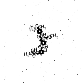 COCCCn1c(C(=O)Nc2ccc(C(C)(C)C)cc2)cc2cc(NC(=O)c3cc(CNC(=O)C(C)C)ccc3Cl)ccc21